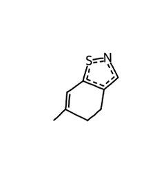 CC1=Cc2sncc2CC1